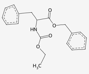 CCOC(=O)NC(Cc1ccccc1)C(=O)OCc1ccccc1